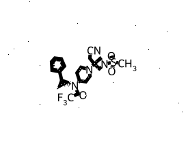 CS(=O)(=O)N1CC(CC#N)(N2CCC(N(C(=O)C(F)(F)F)[C@@H]3CC3c3ccccc3)CC2)C1